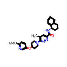 COc1ccc(OC2CCN(c3nnc(C(=O)N[C@@H]4CCCc5ccccc54)cc3C)CC2)cn1